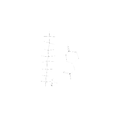 CC(=O)C[S+]1CCC(=O)CC1.O=S(=O)([O-])C(F)(F)C(F)(F)C(F)(F)C(F)(F)C(F)(F)C(F)(F)C(F)(F)C(F)(F)F